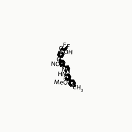 COc1nc(Nc2nccc(-c3ccc(OC4CCN(C(=O)[C@@H](O)C(F)F)CC4)c(C#N)c3)n2)ccc1C1CCN(C)CC1